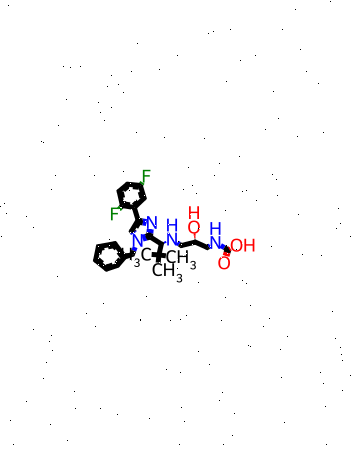 CC(C)(C)[C@@H](NC[C@H](O)CNC(=O)O)c1nc(-c2cc(F)ccc2F)cn1Cc1ccccc1